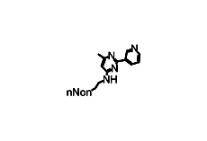 CCCCCCCCCCCNc1cc(C)nc(-c2cccnc2)n1